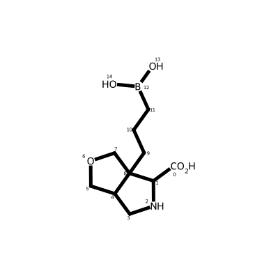 O=C(O)C1NCC2COCC21CCCB(O)O